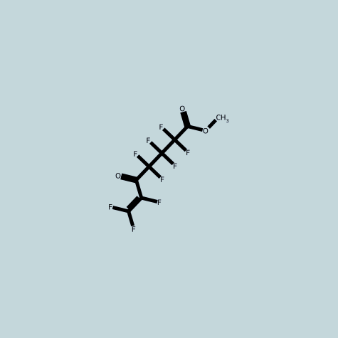 COC(=O)C(F)(F)C(F)(F)C(F)(F)C(=O)C(F)=C(F)F